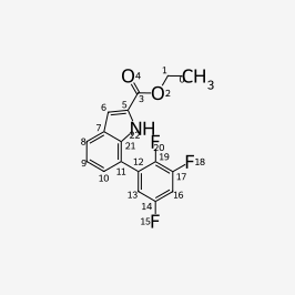 CCOC(=O)c1cc2cccc(-c3cc(F)cc(F)c3F)c2[nH]1